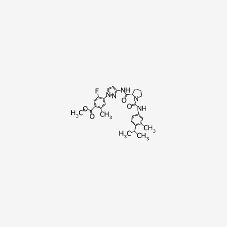 COC(=O)c1cc(F)c(-n2ccc(NC(=O)[C@H]3CCCN3C(=O)Nc3ccc(C(C)C)c(C)c3)n2)cc1C